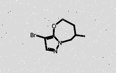 CC1CCOc2c(Br)cnn2C1